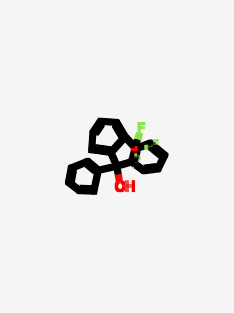 OC(c1ccccc1)(c1ccccc1)c1ccccc1C(F)(F)F